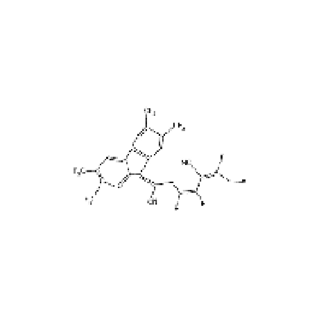 N#CC(C/C(F)=C(F)\C(C#N)=C(\F)CF)=C1c2cc(C(F)(F)F)c(C(F)(F)F)cc2-c2cc(C(F)(F)F)c(C(F)(F)F)cc21